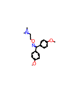 COc1ccc(C(=NOCCN(C)C)c2ccc(OC)cc2)cc1